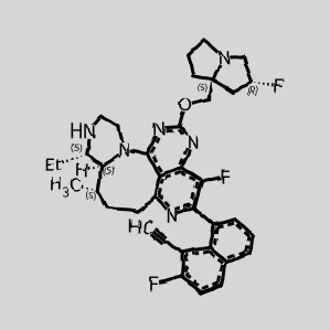 C#Cc1c(F)ccc2cccc(-c3nc4c5c(nc(OC[C@@]67CCCN6C[C@H](F)C7)nc5c3F)N3CCN[C@@H](CC)[C@@H]3[C@@H](C)CC4)c12